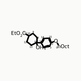 CCCCCCCCOc1ccc(C2(O)CCC(C(=O)OCC)CC2)cc1